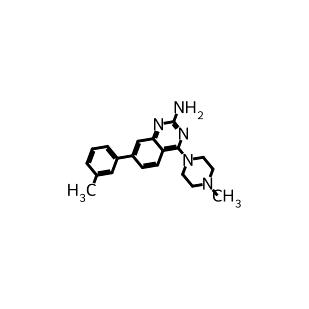 Cc1cccc(-c2ccc3c(N4CCN(C)CC4)nc(N)nc3c2)c1